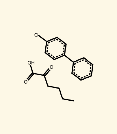 CCCCC(=O)C(=O)O.Clc1ccc(-c2ccccc2)cc1